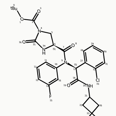 CC(C)(C)OC(=O)N1C[C@@H](C(=O)N(c2cccc(F)c2)[C@H](C(=O)NC2CC(F)(F)C2)c2ccccc2Cl)NC1=O